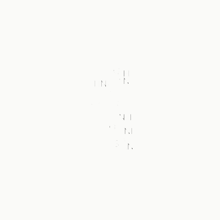 O=C(N/C=C1\CCNC(=O)c2[nH]c3ccc(F)cc3c21)Nc1nccs1